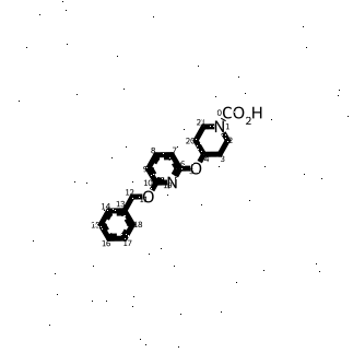 O=C(O)N1CCC(Oc2cccc(OCc3ccccc3)n2)CC1